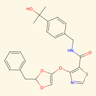 CC(C)(O)c1ccc(CNC(=O)c2scnc2OC2=COC(Cc3ccccc3)O2)cc1